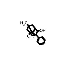 CC12CC3CC(C)(C1)CC(c1ccccc1)(C2)C3O